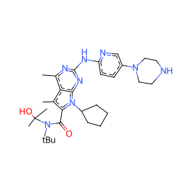 Cc1nc(Nc2ccc(N3CCNCC3)cn2)nc2c1c(C)c(C(=O)N(C(C)(C)C)C(C)(C)O)n2C1CCCC1